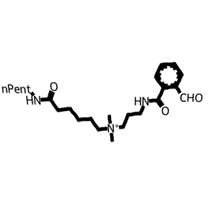 CCCCCNC(=O)CCCCC[N+](C)(C)CCCNC(=O)c1ccccc1C=O